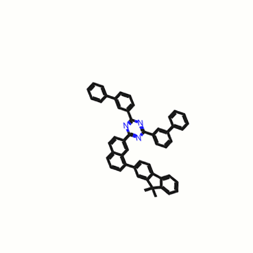 CC1(C)c2ccccc2-c2ccc(-c3cccc4ccc(-c5nc(-c6cccc(-c7ccccc7)c6)nc(-c6cccc(-c7ccccc7)c6)n5)cc34)cc21